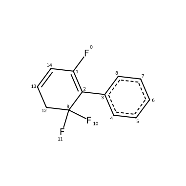 FC1=C(c2ccccc2)C(F)(F)CC=C1